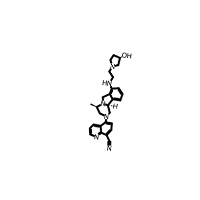 C[C@@H]1CN(c2ccc(C#N)c3ncccc23)C[C@@H]2c3cccc(NCCN4CC[C@H](O)C4)c3CN12